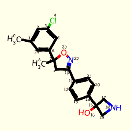 Cc1cc(Cl)cc(C2(C)CC(c3ccc(C4(O)CNC4)cc3)=NO2)c1